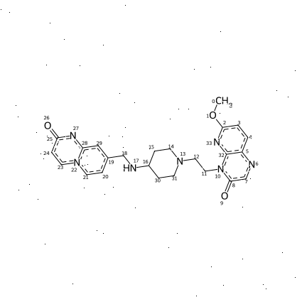 COc1ccc2ncc(=O)n(CCN3CCC(NCc4ccn5ccc(=O)nc5c4)CC3)c2n1